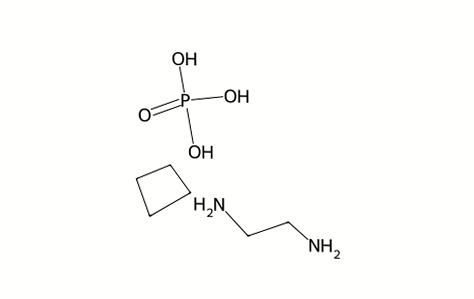 C1CCC1.NCCN.O=P(O)(O)O